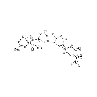 CCc1cccc(C(O)(C(=O)N2CCC(CC3CCN(c4ccc(C(=O)N(C)C)c(Cl)c4)CC3)CC2)C(F)(F)F)c1